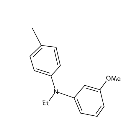 CCN(c1ccc(C)cc1)c1cccc(OC)c1